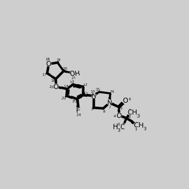 CC(C)(C)OC(=O)N1CCN(c2ccc(OC3COCC3O)cc2F)CC1